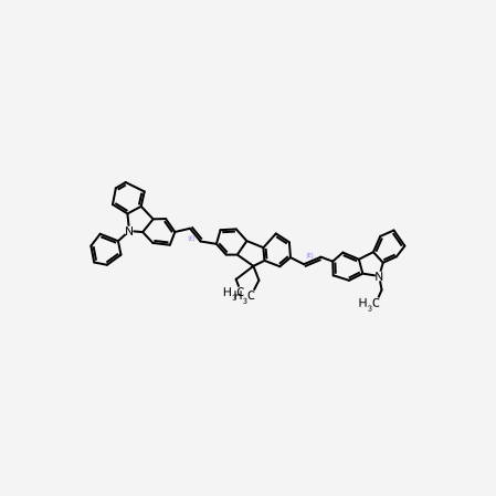 CCn1c2ccccc2c2cc(/C=C/c3ccc4c(c3)C(CC)(CC)C3C=C(/C=C/C5=CC6c7ccccc7N(c7ccccc7)C6C=C5)C=CC43)ccc21